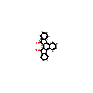 O=c1c2ccccc2c2c3ccccc3c3c4ccccc4c(=O)c3c12